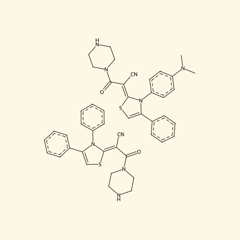 CN(C)c1ccc(N2C(c3ccccc3)=CSC2=C(C#N)C(=O)N2CCNCC2)cc1.N#CC(C(=O)N1CCNCC1)=C1SC=C(c2ccccc2)N1c1ccccc1